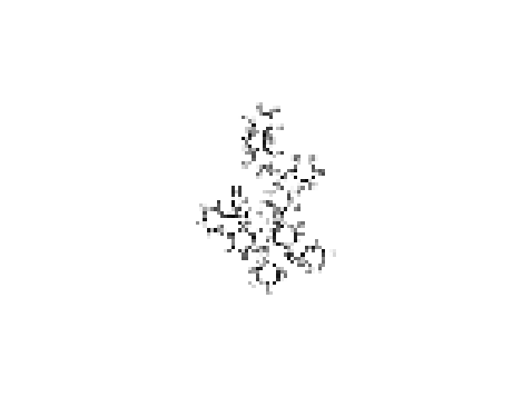 CC1(C)c2ccccc2-c2ccc(N(c3ccccc3)c3cc(-c4ccc5c(c4)c4ccccc4n5-c4ccc5sc6ccccc6c5c4)cc4c3sc3ccccc34)cc21